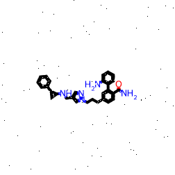 NC(=O)c1ccc(CCCn2cc(CNC3CC3c3ccccc3)cn2)cc1-c1ccccc1N